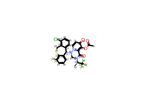 CC(=O)Oc1c2n(ccc1=O)N([C@H]1c3cccc(Cl)c3CSc3c(F)cccc31)CN([C@H](C)C(F)(F)F)C2=O